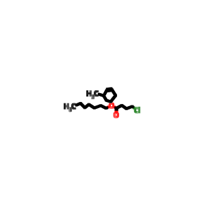 CC1C#CCCC1.CCCCCCCOC(=O)CCCCl